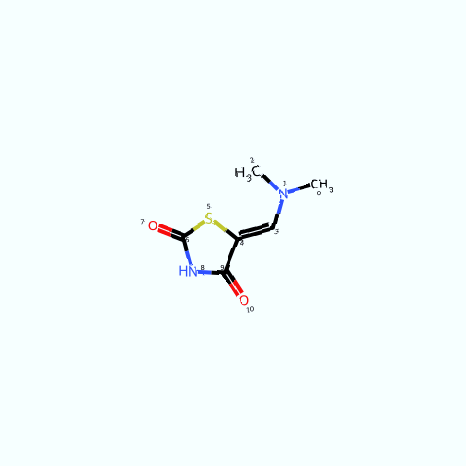 CN(C)C=C1SC(=O)NC1=O